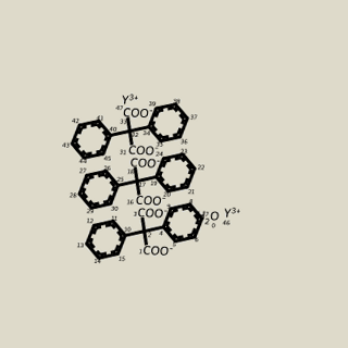 O.O=C([O-])C(C(=O)[O-])(c1ccccc1)c1ccccc1.O=C([O-])C(C(=O)[O-])(c1ccccc1)c1ccccc1.O=C([O-])C(C(=O)[O-])(c1ccccc1)c1ccccc1.[Y+3].[Y+3]